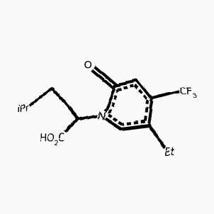 CCc1cn(C(CC(C)C)C(=O)O)c(=O)cc1C(F)(F)F